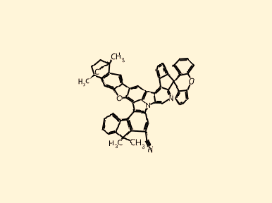 CC12CCC(C)(CC1)c1cc3c(cc12)oc1c3cc2c3c4c(ncc3n3c5cc(C#N)c6c(c5c1c23)-c1ccccc1C6(C)C)C1(c2ccccc2Oc2ccccc21)c1ccccc1-4